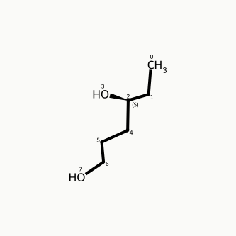 CC[C@H](O)CCCO